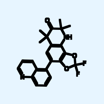 CC1(C)Nc2c(cc(-c3cccc4ncccc34)c3c2OC(F)(F)O3)C(C)(C)C1=O